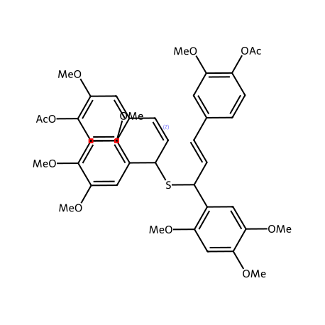 COc1cc(OC)c(C(C=Cc2ccc(OC(C)=O)c(OC)c2)SC(/C=C\c2ccc(OC(C)=O)c(OC)c2)c2cc(OC)c(OC)cc2OC)cc1OC